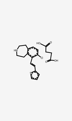 Clc1ccc2c(c1C=Cc1cccs1)CCNCC2.O=C(O)CCC(=O)O